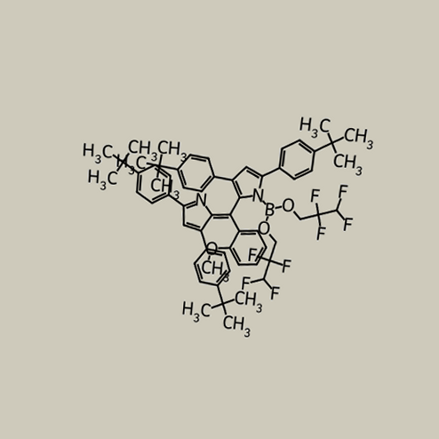 COc1ccccc1/C(=C1/N=C(c2ccc(C(C)(C)C)cc2)C=C1c1ccc(C(C)(C)C)cc1)c1c(-c2ccc(C(C)(C)C)cc2)cc(-c2ccc(C(C)(C)C)cc2)n1B(OCC(F)(F)C(F)F)OCC(F)(F)C(F)F